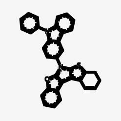 C1=Cc2c(sc3c2c2c4ccccc4oc2n3-c2ccc3c(c2)c2ccccc2n3-c2ccccc2)CC1